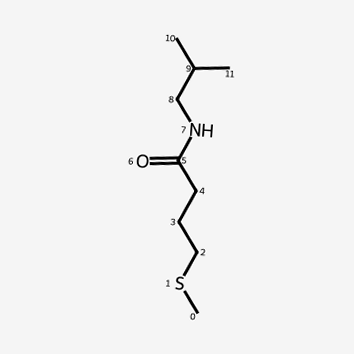 CSCCCC(=O)NCC(C)C